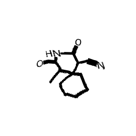 CC1C(=O)NC(=O)C(C#N)C12CCCCC2